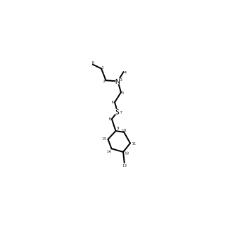 CCCN(C)CCSCC1CC[C](C)CC1